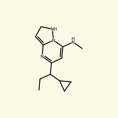 CCC(C1=NC2=CCNN2C(NC)=C1)C1CC1